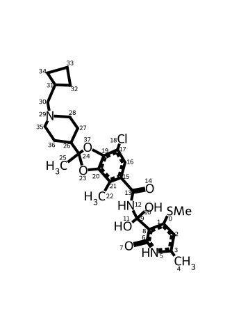 CSc1cc(C)[nH]c(=O)c1C(O)(O)NC(=O)c1cc(Cl)c2c(c1C)OC(C)(C1CCN(CC3CCC3)CC1)O2